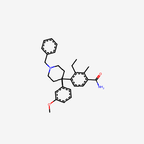 CCc1c(C2(c3cccc(OC)c3)CCN(Cc3ccccc3)CC2)ccc(C(N)=O)c1C